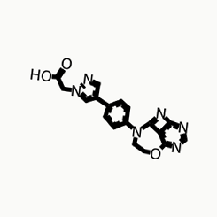 O=C(O)Cn1cc(-c2ccc(N3CCOc4ncnc5c4C3=N5)cc2)cn1